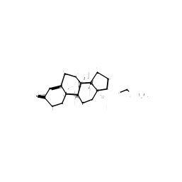 COCO[C@H]1CC[C@H]2[C@@H]3CCC4=CC(=O)CC[C@]4(C)[C@H]3CC[C@]12C